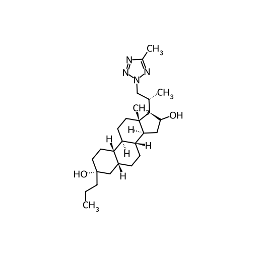 CCC[C@@]1(O)CC[C@H]2[C@H](CC[C@@H]3[C@@H]2CC[C@]2(C)[C@@H]([C@@H](C)Cn4nnc(C)n4)C(O)C[C@@H]32)C1